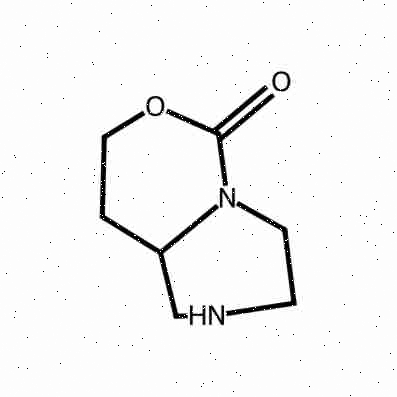 O=C1OCCC2CNCCN12